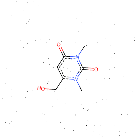 Cn1c(CO)cc(=O)n(C)c1=O